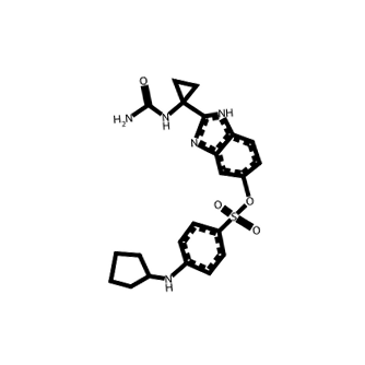 NC(=O)NC1(c2nc3cc(OS(=O)(=O)c4ccc(NC5CCCC5)cc4)ccc3[nH]2)CC1